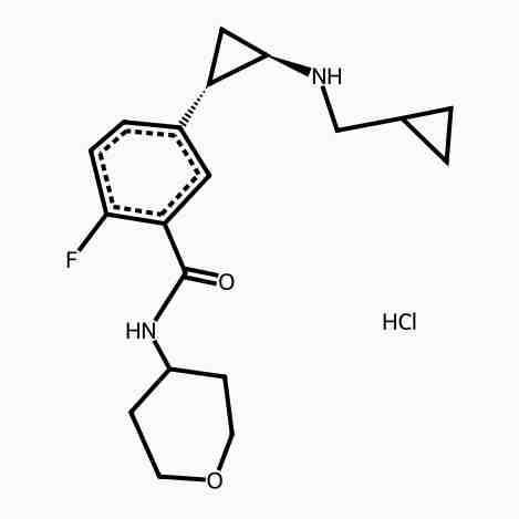 Cl.O=C(NC1CCOCC1)c1cc([C@@H]2C[C@H]2NCC2CC2)ccc1F